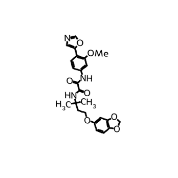 COc1cc(NC(=O)C(=O)NC(C)(C)CCOc2ccc3c(c2)OCO3)ccc1-c1cnco1